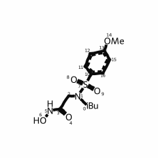 CCC(C)N(CC(=O)NO)S(=O)(=O)c1ccc(OC)cc1